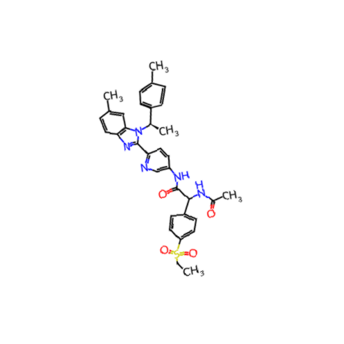 CCS(=O)(=O)c1ccc(C(NC(C)=O)C(=O)Nc2ccc(-c3nc4ccc(C)cc4n3[C@H](C)c3ccc(C)cc3)nc2)cc1